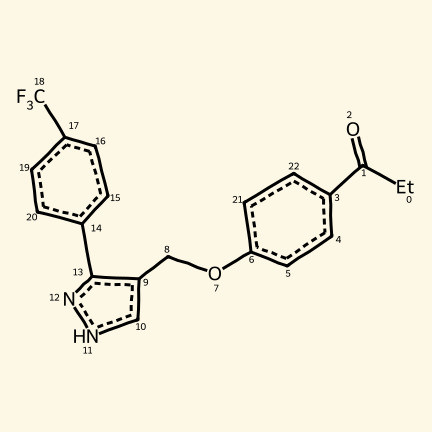 CCC(=O)c1ccc(OCc2c[nH]nc2-c2ccc(C(F)(F)F)cc2)cc1